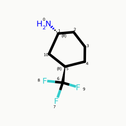 N[C@@H]1CCC[C@@H](C(F)(F)F)C1